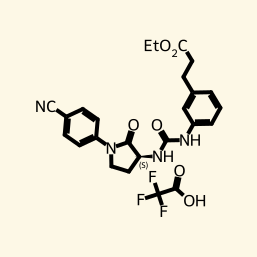 CCOC(=O)CCc1cccc(NC(=O)N[C@H]2CCN(c3ccc(C#N)cc3)C2=O)c1.O=C(O)C(F)(F)F